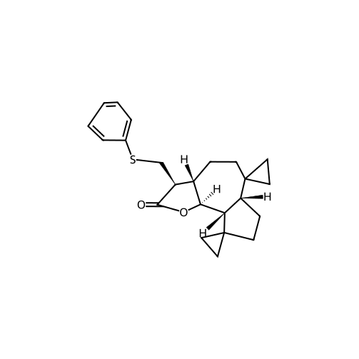 O=C1O[C@H]2[C@@H](CCC3(CC3)[C@@H]3CCC4(CC4)[C@H]23)[C@@H]1CSc1ccccc1